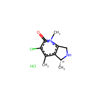 Cc1c2c(n(C)c(=O)c1Cl)CN[C@@H]2C.Cl